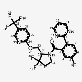 O=C(c1cc(F)ccc1-c1ncccn1)N1CCC(F)(F)[C@H]1COc1ccc(C(F)(F)F)cn1